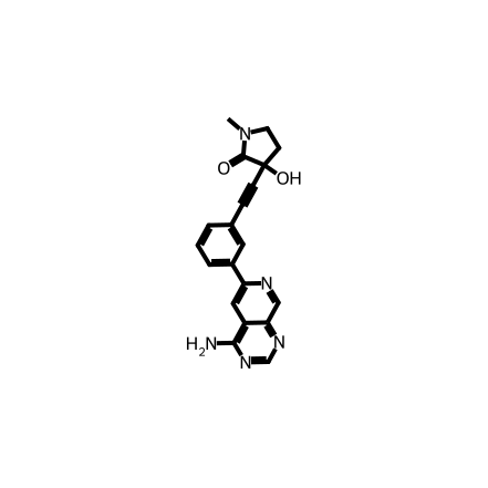 CN1CCC(O)(C#Cc2cccc(-c3cc4c(N)ncnc4cn3)c2)C1=O